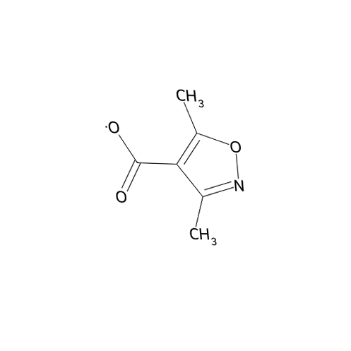 Cc1noc(C)c1C([O])=O